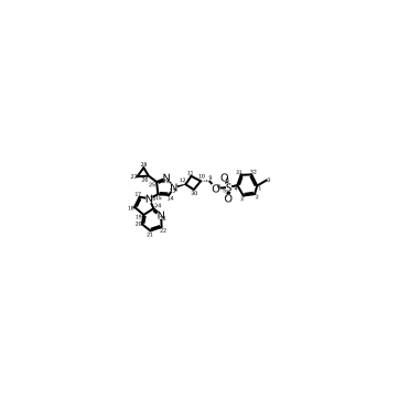 Cc1ccc(S(=O)(=O)OC[C@H]2C[C@H](n3cc(-n4ccc5cccnc54)c(C4CC4)n3)C2)cc1